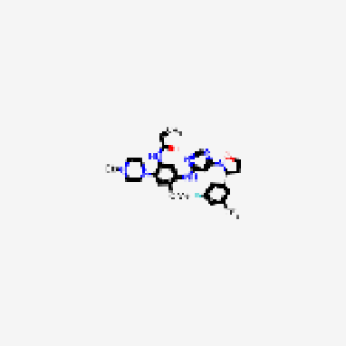 C=CC(=O)Nc1cc(Nc2cc(N3OCC[C@@H]3c3cc(F)cc(C(F)(F)F)c3)ncn2)c(OC)cc1N1CCN(CC)CC1